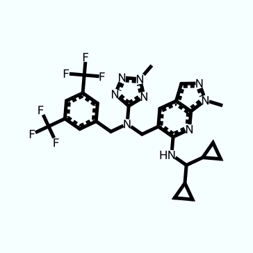 Cn1nnc(N(Cc2cc(C(F)(F)F)cc(C(F)(F)F)c2)Cc2cc3cnn(C)c3nc2NC(C2CC2)C2CC2)n1